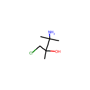 CC(C)(N)C(C)(O)CCl